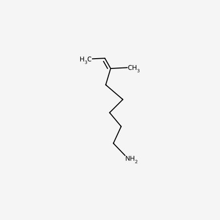 C/C=C(/C)CCCCCN